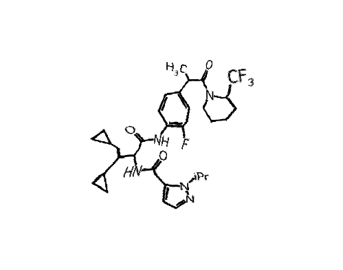 CC(C(=O)N1CCCCC1C(F)(F)F)c1ccc(NC(=O)C(NC(=O)c2ccnn2C(C)C)C(C2CC2)C2CC2)c(F)c1